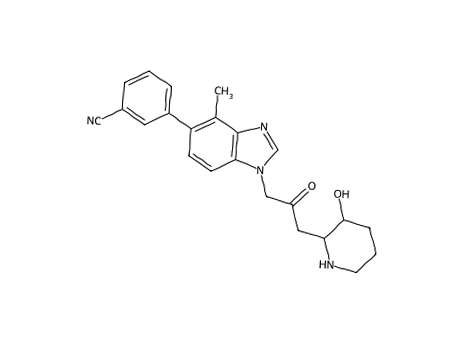 Cc1c(-c2cccc(C#N)c2)ccc2c1ncn2CC(=O)CC1NCCCC1O